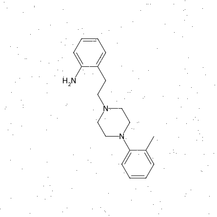 Cc1ccccc1N1CCN(CCc2ccccc2N)CC1